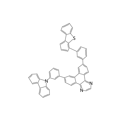 c1cc(-c2ccc3c(c2)c2cc(-c4cccc(-n5c6ccccc6c6ccccc65)c4)ccc2c2nccnc32)cc(-c2cccc3c2sc2ccccc23)c1